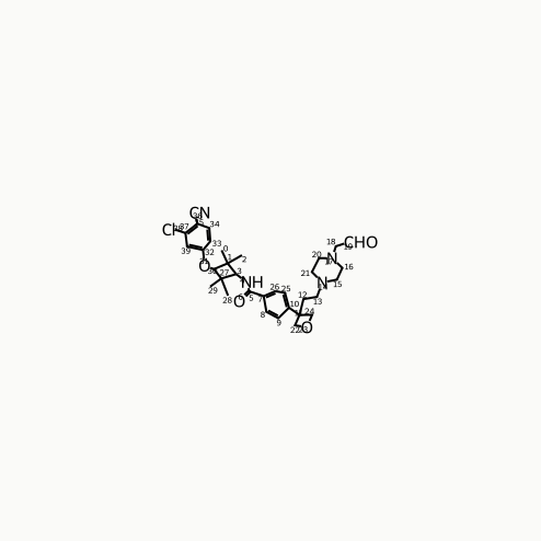 CC1(C)C(NC(=O)c2ccc(C3(CCN4CCN(CC=O)CC4)COC3)cc2)C(C)(C)C1Oc1ccc(C#N)c(Cl)c1